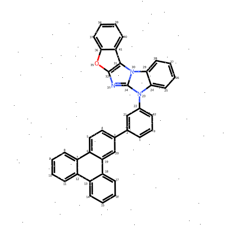 c1cc(-c2ccc3c4ccccc4c4ccccc4c3c2)cc(-n2c3ccccc3n3c4c(nc23)oc2ccccc24)c1